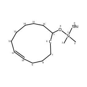 CC(C)(C)[Si](C)(C)OC1CCCCC=CCCCCC1